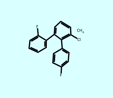 C.Fc1ccc(-c2c(Cl)cccc2-c2ccccc2F)cc1